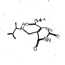 CC(C)C(C)NCc1c(C(=O)O)[nH]c(=O)[nH]c1=O